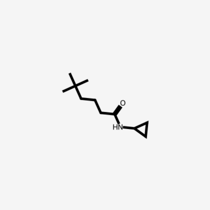 CC(C)(C)CCCC(=O)NC1CC1